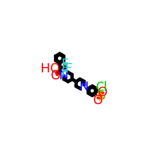 CS(=O)(=O)c1ccc(N2CCC(C3CCN(C(=O)[C@](O)(c4ccccc4)C(F)(F)F)CC3)CC2)cc1Cl